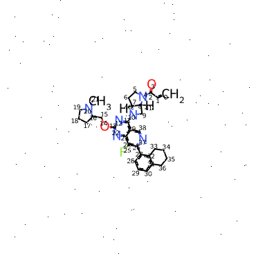 C=CC(=O)N1CC[C@@H]2[C@H]1CN2c1nc(OCC2CCCN2C)nc2c(F)c(-c3cccc4c3CCCC4)ncc12